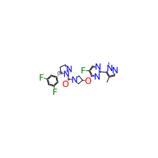 Cc1cnn(C)c1-c1ncc(F)c(OC2CN(C(=O)N3N=CC[C@H]3c3cc(F)cc(F)c3)C2)n1